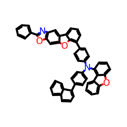 c1ccc(-c2nc3cc4c(cc3o2)oc2c(-c3ccc(N(c5ccc(-c6cccc7ccccc67)cc5)c5cccc6oc7ccccc7c56)cc3)cccc24)cc1